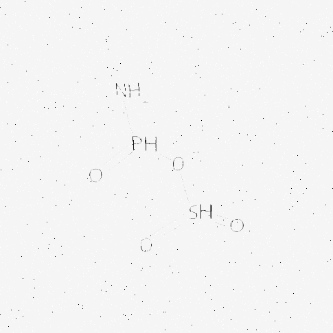 N[PH](=O)O[SH](=O)=O